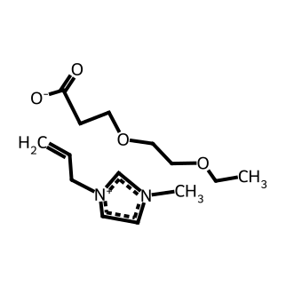 C=CC[n+]1ccn(C)c1.CCOCCOCCC(=O)[O-]